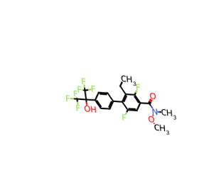 CCc1c(F)c(C(=O)N(C)OC)cc(F)c1-c1ccc(C(O)(C(F)(F)F)C(F)(F)F)cc1